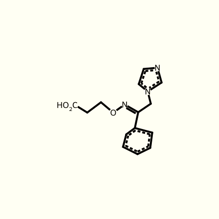 O=C(O)CCO/N=C(/Cn1ccnc1)c1ccccc1